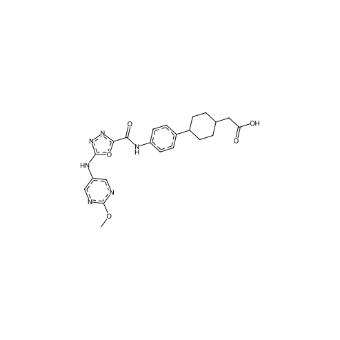 COc1ncc(Nc2nnc(C(=O)Nc3ccc(C4CCC(CC(=O)O)CC4)cc3)o2)cn1